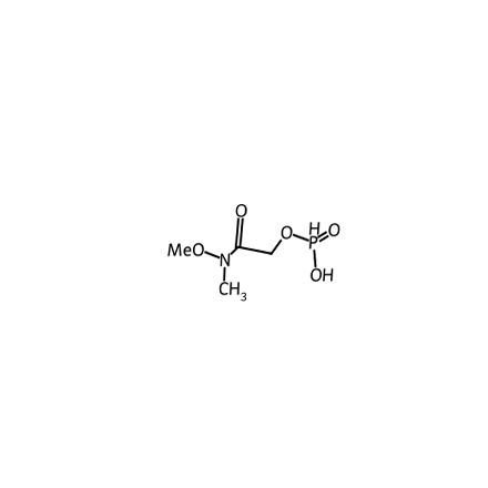 CON(C)C(=O)CO[PH](=O)O